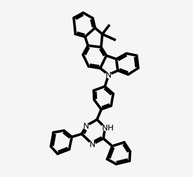 CC1(C)c2ccccc2-c2ccc3c(c21)c1ccccc1n3-c1ccc(C2N=C(c3ccccc3)N=C(c3ccccc3)N2)cc1